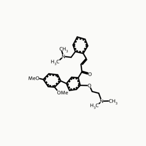 COc1ccc(-c2ccc(OCCN(C)C)c(C(=O)C=Cc3ccccc3CN(C)C)c2)c(OC)c1